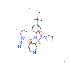 CC(C)(C)c1ccc(N(C(=O)C2CCCN2C#N)C(F)(C(=O)N2CCCC2)c2cccnc2)cc1